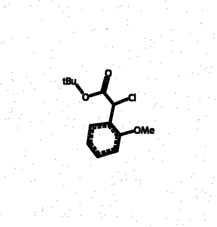 COc1ccccc1C(Cl)C(=O)OC(C)(C)C